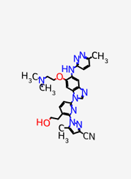 Cc1ccc(Nc2cc3ncn(-c4ccc(CCO)c(-n5nc(C#N)cc5C)n4)c3cc2OCCN(C)C)nn1